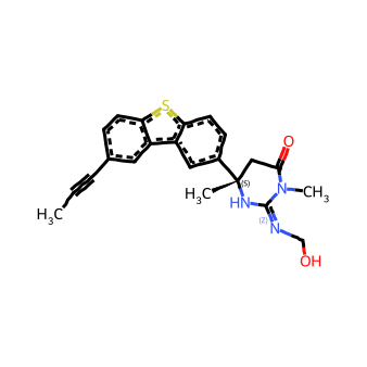 CC#Cc1ccc2sc3ccc([C@]4(C)CC(=O)N(C)/C(=N\CO)N4)cc3c2c1